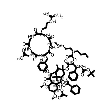 CCCCN(CCSSC[C@@H]1NC(=O)[C@@H](Cc2ccccc2)NC(=O)[C@H](CC(=O)O)NC(=O)CNC(=O)[C@H](CCCNC(=N)N)NC1=O)C(=O)O[C@@H](C(=O)OC1(C)C[C@@]2(O)[C@@H](OC(=O)c3ccccc3)[C@@H]3[C@@H](OC(C)=O)[C@H](OC)C[C@H](OC)[C@@]3(C)C(=O)[C@H](O)C(=C1C)C2(C)C)[C@@H](NC(=O)OC(C)(C)C)c1ccccc1